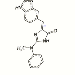 CN(C1=N/C(=C\c2ccc3[nH]cnc3c2)C(=O)N1)c1ccccc1